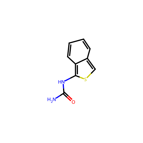 NC(=O)Nc1scc2ccccc12